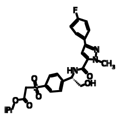 CC(C)OC(=O)CS(=O)(=O)c1ccc([C@@H](CO)NC(=O)c2cc(-c3ccc(F)cc3)nn2C)cc1